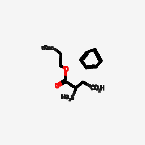 CCCCCCCCCCCCOC(=O)C(CC(=O)O)S(=O)(=O)O.c1ccccc1